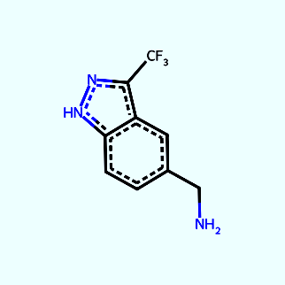 NCc1ccc2[nH]nc(C(F)(F)F)c2c1